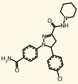 NC(=O)c1ccc(N2N=C(C(=O)NN3CCCCC3)CC2c2ccc(Cl)cc2)cc1